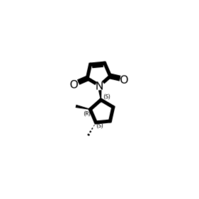 C[C@@H]1[C@@H](C)CC[C@@H]1N1C(=O)C=CC1=O